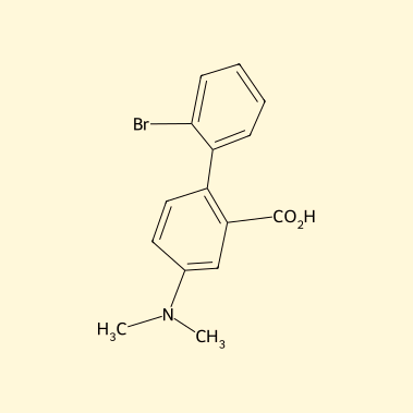 CN(C)c1ccc(-c2ccccc2Br)c(C(=O)O)c1